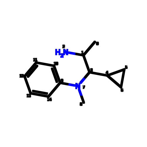 CC(N)C(C1CC1)N(C)c1ccccc1